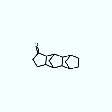 O=C1CCC2C3CC(C12)C1C2CCC(C2)C31